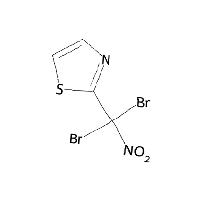 O=[N+]([O-])C(Br)(Br)c1nccs1